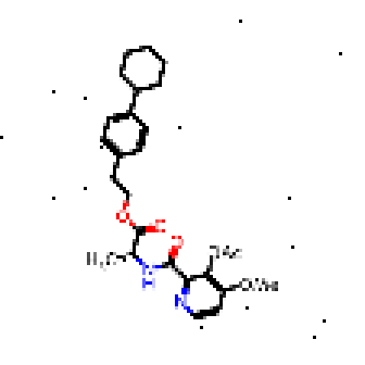 COc1ccnc(C(=O)N[C@@H](C)C(=O)OCCc2ccc(C3CCCCC3)cc2)c1OC(C)=O